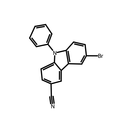 N#Cc1ccc2c(c1)c1cc(Br)ccc1n2-c1ccccc1